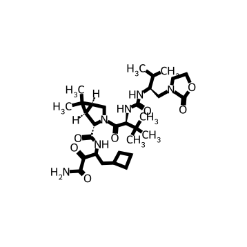 CC(C)[C@@H](CN1CCOC1=O)NC(=O)N[C@H](C(=O)N1C[C@H]2[C@@H]([C@H]1C(=O)NC(CC1CCC1)C(=O)C(N)=O)C2(C)C)C(C)(C)C